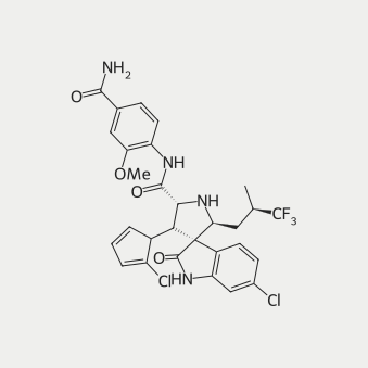 COc1cc(C(N)=O)ccc1NC(=O)[C@@H]1N[C@@H](C[C@@H](C)C(F)(F)F)[C@@]2(C(=O)Nc3cc(Cl)ccc32)C1C1C=CC=C1Cl